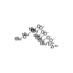 CC(C)(C)[O-].CC(C)(C)[O-].CC(C)(C)[O-].CC(C)(C)[O-].CC(C)(C)[O-].CC(C)(C)[O-].CC(C)(C)[O-].CC(C)(C)[O-].[Ti+4].[Zr+4]